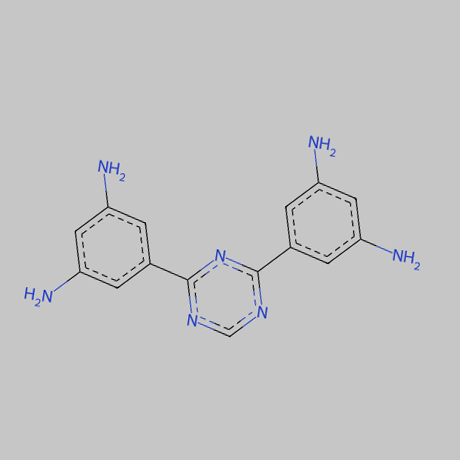 Nc1cc(N)cc(-c2ncnc(-c3cc(N)cc(N)c3)n2)c1